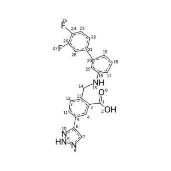 O=C(O)c1cc(-c2cn[nH]n2)ccc1CNc1cccc(-c2ccc(F)c(F)c2)c1